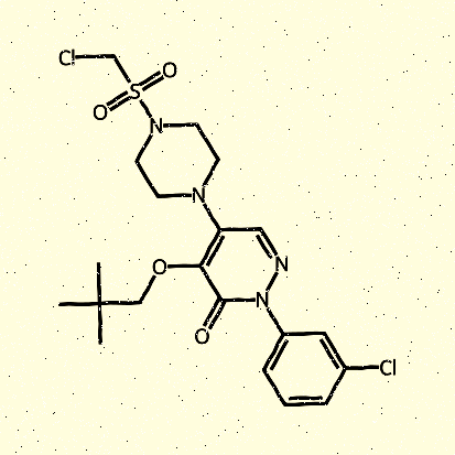 CC(C)(C)COc1c(N2CCN(S(=O)(=O)CCl)CC2)cnn(-c2cccc(Cl)c2)c1=O